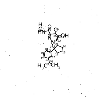 CNC(=O)c1nn(CC2(c3cccc(C(C)C)c3)CCCC2)cc(O)c1=O